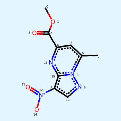 COC(=O)c1cc(C)n2ncc([N+](=O)[O-])c2n1